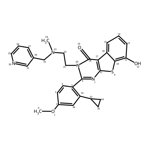 COc1ccc(-c2nc3sc4c(O)cccc4c3c(=O)n2CCN(C)Cc2cccnc2)c(C2CC2)c1